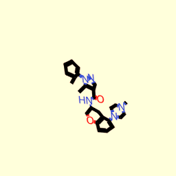 Cc1ccccc1-n1ncc(C(=O)N[C@@H]2COc3cccc(N4CCN(C)CC4)c3C2)c1C